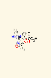 C[C@@H]1CN(CC=O)[C@@H](CN2CCOC[C@H]2C)CN1.C[C@H](O)C(=O)O